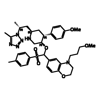 COCCCN1CCOc2ccc(C(O[C@H]3CN[C@@H](C[C@@H](C)n4nnnc4C)C[C@@H]3c3ccc(OC)cc3)S(=O)(=O)c3ccc(C)cc3)cc21